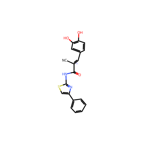 N#C/C(=C\c1ccc(O)c(O)c1)C(=O)Nc1nc(-c2ccccc2)cs1